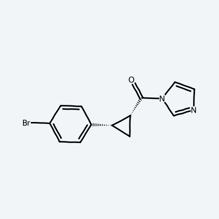 O=C([C@@H]1C[C@@H]1c1ccc(Br)cc1)n1ccnc1